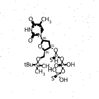 Cc1cn([C@H]2C[C@H](O[PH](=S)OP(=O)(O)OP(O)(O)=S)[C@@H](CO[Si](C)(C)C(C)(C)C)O2)c(=O)[nH]c1=O